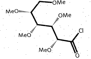 COC[C@@H](OC)[C@@H](OC)[C@H](OC)[C@@H](OC)C(=O)Cl